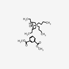 CCCCP(CCCC)(CCCC)(CCCC)S(=O)(=O)O.COC(=O)c1cccc(C(=O)OC)c1